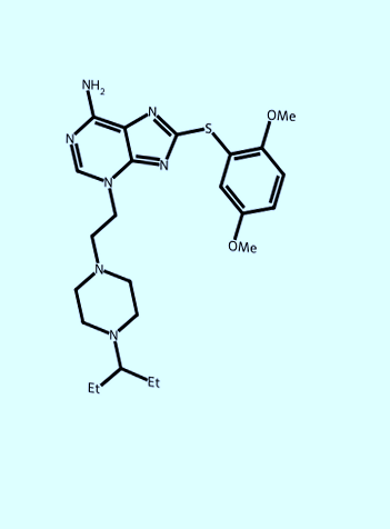 CCC(CC)N1CCN(CCn2cnc(N)c3nc(Sc4cc(OC)ccc4OC)nc2-3)CC1